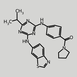 CC(C)c1nc(Nc2ccc(C(=O)N3CCCC3)cc2)nc(Nc2ccc3ncsc3c2)n1